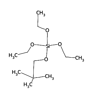 CCO[Si](OCC)(OCC)OCC(C)(C)C